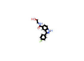 O=C(NCCO)c1ccc2[nH]nc(-c3ccc(F)cc3)c2c1